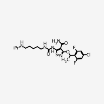 CC(C)NCCCCCNC(=O)Nc1snc(OC(C)c2c(F)cc(Cl)cc2F)c1C(N)=O